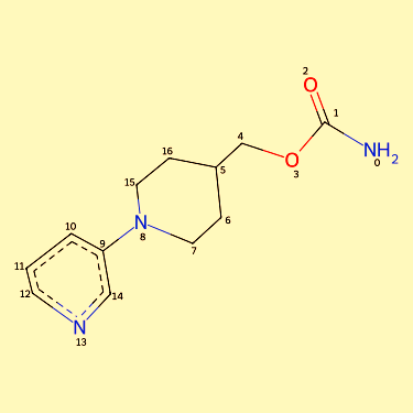 NC(=O)OCC1CCN(c2cccnc2)CC1